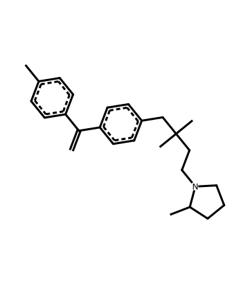 C=C(c1ccc(C)cc1)c1ccc(CC(C)(C)CCN2CCCC2C)cc1